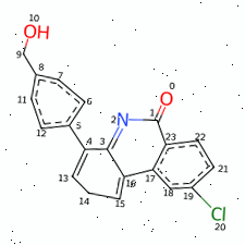 O=C1N=C2C(c3ccc(CO)cc3)=CCC=C2c2cc(Cl)ccc21